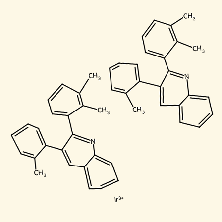 Cc1ccccc1-c1cc2ccccc2nc1-c1cccc(C)c1C.Cc1ccccc1-c1cc2ccccc2nc1-c1cccc(C)c1C.[Ir+3]